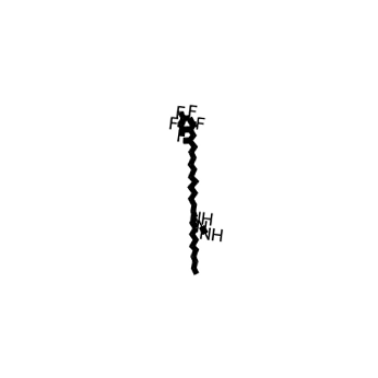 C=C(CCCCCCCCCCCCN/C=C(/CCCCCCCC)N=N)Cc1c(F)c(F)c(F)c(F)c1F